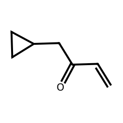 C=CC(=O)CC1CC1